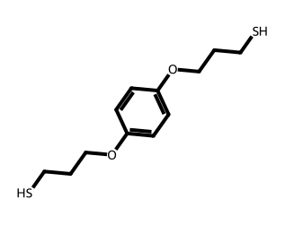 SCCCOc1ccc(OCCCS)cc1